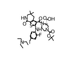 CC1(C)CNC(=O)c2sc(Nc3ccc(I)cc3F)c(C(=O)N3CCN(C(=O)OC(C)(C)C)C[C@H]3C(=O)O)c2C1.CCN(CC)CC